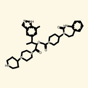 Cc1cc(C(C)C(OC(=O)N2CCC(N3CCc4ccccc4NC3=O)CC2)C(=O)N2CCN(C3CCNCC3)CC2)cc2cn[nH]c12